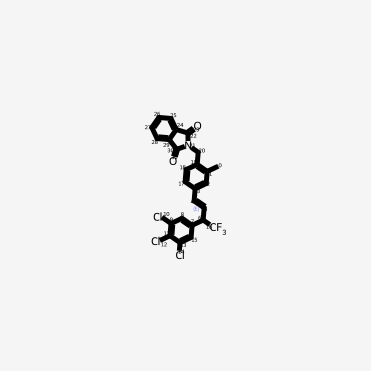 Cc1cc(/C=C/C(c2cc(Cl)c(Cl)c(Cl)c2)C(F)(F)F)ccc1CN1C(=O)c2ccccc2C1=O